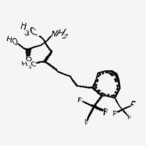 CC(CCCc1cccc(C(F)(F)F)c1C(F)(F)F)CC(C)(N)C(=O)O